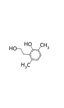 Cc1ccc(C)c(CCO)c1O